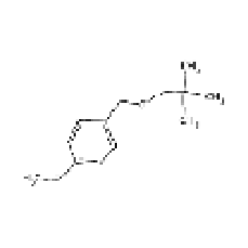 C=Cc1ccc(COCC(C)(C)C)cc1